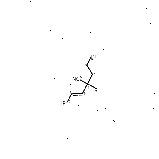 CC(C)C=CC(C)(C#N)CCC(C)C